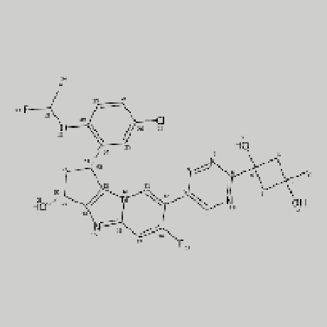 CC1(O)CC(O)(c2ncc(-c3cn4c5c(nc4cc3F)[C@H](O)C[C@@H]5c3cc(Cl)ccc3OC(F)F)cn2)C1